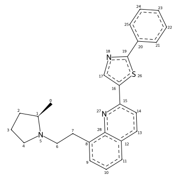 C[C@@H]1CCCN1CCc1cccc2ccc(-c3cnc(-c4ccccc4)s3)nc12